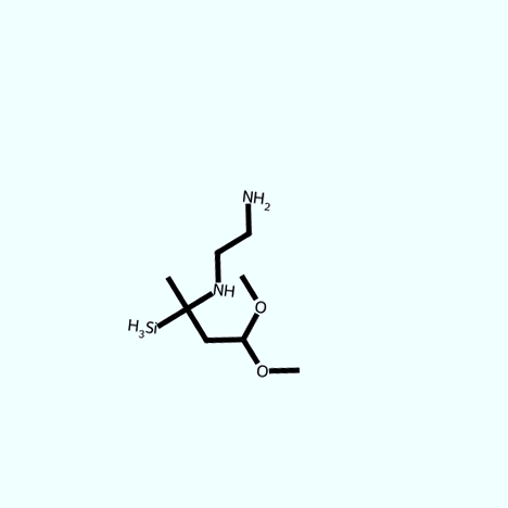 COC(CC(C)([SiH3])NCCN)OC